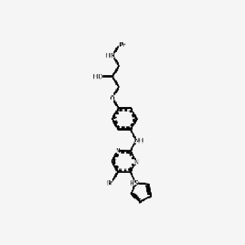 CC(C)NCC(O)COc1ccc(Nc2ncc(Br)c([SH]3C=CC=C3)n2)cc1